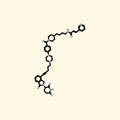 O=C(/C=C/c1cccnc1)NCCCCC1CCN(C(=O)c2ccc(N3CCN(CCCC#Cc4cccc5c4CN(C4CCC(=O)NC4=O)C5=O)CC3)cc2)CC1